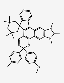 COc1ccc(C2(c3ccc(C)cc3)C=Cc3c4c(c5cc6c(cc5c3O2)N(C)C(C)N6C)-c2ccccc2C42CC(C)(C)CC(C)(C)C2)cc1